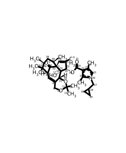 CC1=C[C@]23C(=O)[C@@H](C=C4COC(C)(C)O[C@H]4[C@]2(O)[C@H]1OC(=O)c1c(C)cn(CC2CC2)c1C)C(C)(C)[C@@H](C)C[C@H]3C